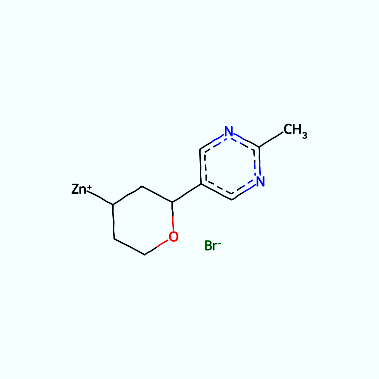 Cc1ncc(C2C[CH]([Zn+])CCO2)cn1.[Br-]